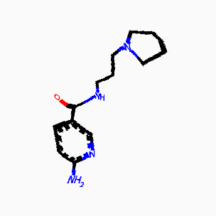 Nc1ccc(C(=O)NCCCN2CCCC2)cn1